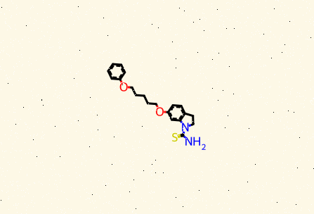 NC(=S)N1CCc2ccc(OCCCCCOc3ccccc3)cc21